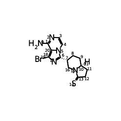 Nc1nccn2c([C@@H]3CC[C@H]4CCC(=S)N4C3)nc(Br)c12